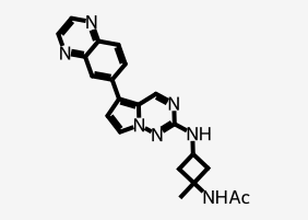 CC(=O)NC1(C)CC(Nc2ncc3c(-c4ccc5nccnc5c4)ccn3n2)C1